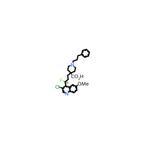 COc1ccc2ncc(Cl)c([C@@H](F)CCC3(C(=O)O)CCN(CCCc4ccccc4)CC3)c2c1